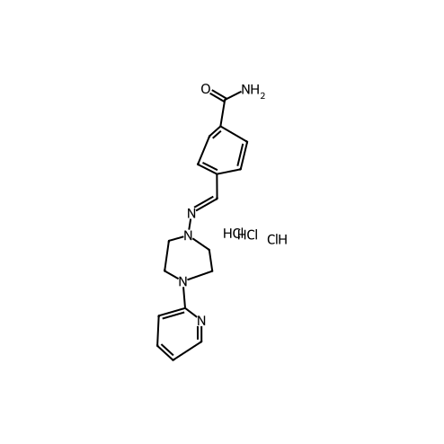 Cl.Cl.Cl.NC(=O)c1ccc(C=NN2CCN(c3ccccn3)CC2)cc1